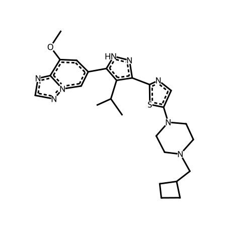 COc1cc(-c2[nH]nc(-c3ncc(N4CCN(CC5CCC5)CC4)s3)c2C(C)C)cn2ncnc12